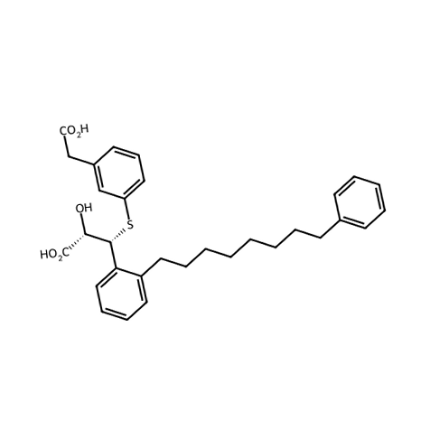 O=C(O)Cc1cccc(S[C@H](c2ccccc2CCCCCCCCc2ccccc2)[C@@H](O)C(=O)O)c1